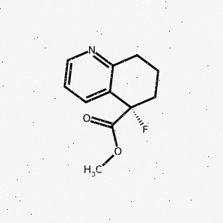 COC(=O)[C@]1(F)CCCc2ncccc21